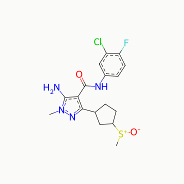 Cn1nc(C2CCC([S+](C)[O-])C2)c(C(=O)Nc2ccc(F)c(Cl)c2)c1N